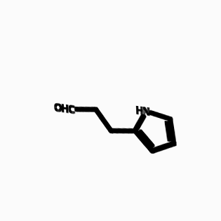 O=CCCc1ccc[nH]1